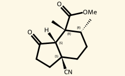 COC(=O)[C@]1(C)[C@H](C)CC[C@]2(C#N)CCC(=O)[C@@H]21